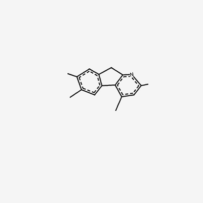 Cc1cc(C)c2c(n1)Cc1cc(C)c(C)cc1-2